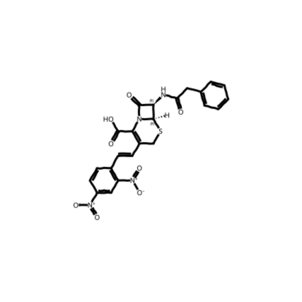 O=C(Cc1ccccc1)N[C@@H]1C(=O)N2C(C(=O)O)=C(C=Cc3ccc([N+](=O)[O-])cc3[N+](=O)[O-])CS[C@H]12